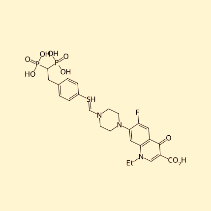 CCn1cc(C(=O)O)c(=O)c2cc(F)c(N3CCN(C=[SH]c4ccc(CC(P(=O)(O)O)P(=O)(O)O)cc4)CC3)cc21